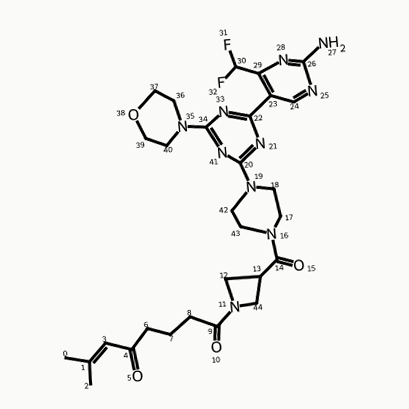 CC(C)=CC(=O)CCCC(=O)N1CC(C(=O)N2CCN(c3nc(-c4cnc(N)nc4C(F)F)nc(N4CCOCC4)n3)CC2)C1